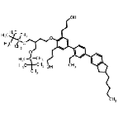 CCCCCC1Cc2ccc(-c3ccc(-c4cc(CCCO)c(OCCC(CO[Si](C)(C)C(C)(C)C)CO[Si](C)(C)C(C)(C)C)c(CCCO)c4)c(CC)c3)cc2C1